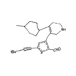 CC1CCC(C2=C(c3cc(C#CC(C)(C)C)sc3C=O)CNCC2)CC1